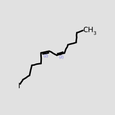 CCCC/C=C\C=C/CCCCI